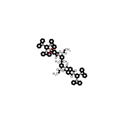 C=CC(=O)Oc1ccc(C(C)(C)c2ccc(OC(=O)C=C)c(-n3c(=O)c4cc5c(=O)n(-c6c(-n7c8ccccc8c8ccccc87)cc(-n7c8ccccc8c8ccccc87)cc6-n6c7ccccc7c7ccccc76)c(=O)c5cc4c3=O)c2)cc1N1C(=O)c2ccc3c4c(ccc(c24)C1=O)C(=O)N(c1cc(-n2c4ccccc4c4ccccc42)cc(-n2c4ccccc4c4ccccc42)c1)C3=O